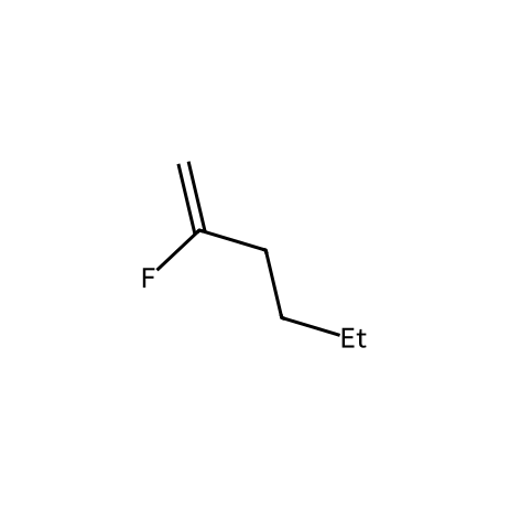 C=C(F)CCCC